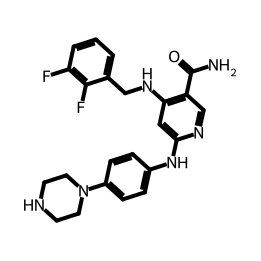 NC(=O)c1cnc(Nc2ccc(N3CCNCC3)cc2)cc1NCc1cccc(F)c1F